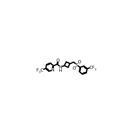 O=C(NC1CC(CS(=O)(=O)c2cccc(C(F)(F)F)c2)C1)c1ccc(C(F)(F)F)cn1